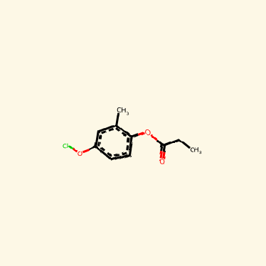 CCC(=O)Oc1ccc(OCl)cc1C